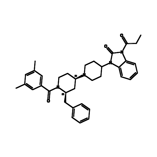 CCC(=O)n1c(=O)n(C2CCN([C@@H]3CCN(C(=O)c4cc(C)cc(C)c4)[C@H](Cc4ccccc4)C3)CC2)c2ccccc21